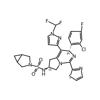 O=S(=O)(N[C@H]1CC2=C(c3ccn(C(F)F)n3)[C@H](c3ccc(F)cc3Cl)N=C(c3nccs3)N2C1)N1CC2CC2C1